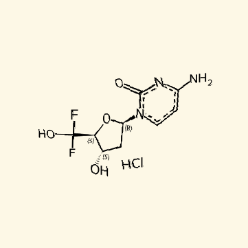 Cl.Nc1ccn([C@H]2C[C@H](O)[C@@H](C(O)(F)F)O2)c(=O)n1